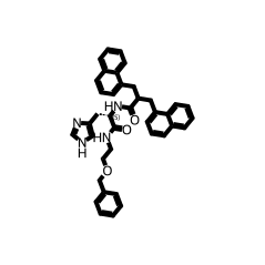 O=C(N[C@@H](Cc1c[nH]cn1)C(=O)NCCOCc1ccccc1)C(Cc1cccc2ccccc12)Cc1cccc2ccccc12